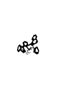 CC1c2c(cccc2C2C=Cc3ccccc32)-c2c(ccc3ccccc23)N1c1ccccc1